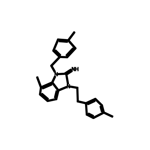 Cc1ccc(CCn2c(=N)n(Cc3ccc(C)cc3)c3c(C)cccc32)cc1